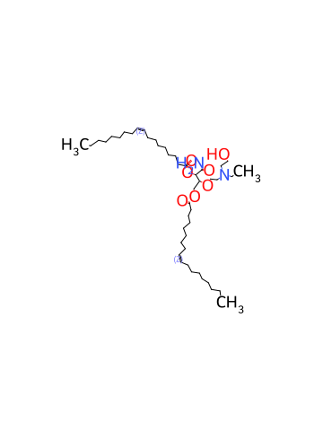 CCCCCCCC/C=C\CCCCCCCC(=O)OCC(OCCN(CC)CCO)C(OC(=O)CCCCCCC/C=C\CCCCCCCC)C(N)=O